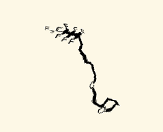 FC(F)(F)C(F)(F)C(F)(F)C(F)(F)CCCCCCCOCCC1CCCCO1